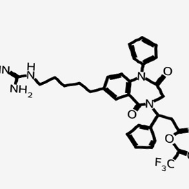 N=C(N)NCCCCCc1ccc2c(c1)C(=O)N(C(CC(=O)OC(=O)C(F)(F)F)c1ccccc1)CC(=O)N2c1ccccc1